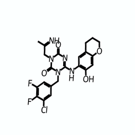 CC(=N)Cn1c(=O)nc(Nc2cc3c(cc2O)OCCC3)n(Cc2cc(F)c(F)c(Cl)c2)c1=O